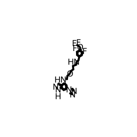 Fc1cc(CNCCCCOCCNc2cc(-n3cnnc3)cc3[nH]ncc23)ccc1OC(F)(F)F